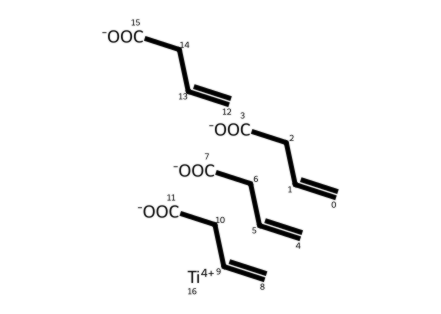 C=CCC(=O)[O-].C=CCC(=O)[O-].C=CCC(=O)[O-].C=CCC(=O)[O-].[Ti+4]